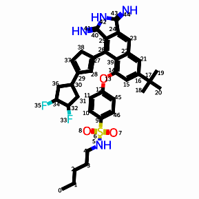 CCCCCNS(=O)(=O)c1ccc(Oc2cc(C(C)(C)C)cc3cc4c(c(C5=CC(C6CC(F)C(F)C6)=CC5)c23)C(=N)NC4=N)cc1